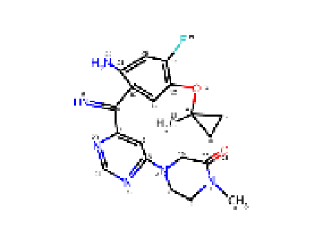 CN1CCN(c2cc(C(=N)c3cc(OC4(C)CC4)c(F)cc3N)ncn2)CC1=O